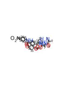 C[C@H](N)C(=O)N[C@@H](C)C(=O)N1CCC[C@H]1C(=O)c1ccc(C(=O)Nc2ccc([N+](=O)[O-])cc2)c2c1C(=O)CCC2=O